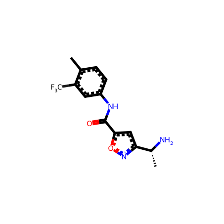 Cc1ccc(NC(=O)c2cc([C@@H](C)N)no2)cc1C(F)(F)F